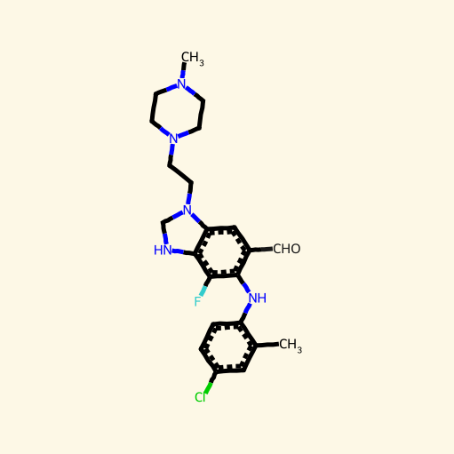 Cc1cc(Cl)ccc1Nc1c(C=O)cc2c(c1F)NCN2CCN1CCN(C)CC1